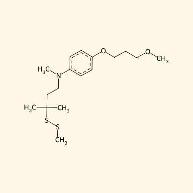 COCCCOc1ccc(N(C)CCC(C)(C)SSC)cc1